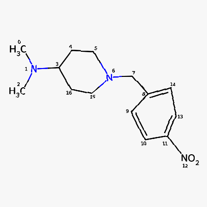 CN(C)C1CCN(Cc2ccc([N+](=O)[O-])cc2)CC1